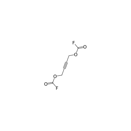 O=C(F)OCC#CCOC(=O)F